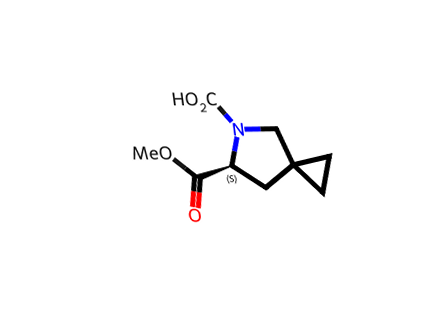 COC(=O)[C@@H]1CC2(CC2)CN1C(=O)O